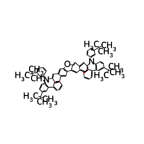 CC(C)(C)c1cccc(N(c2ccc3cc4c(cc3c2)oc2cc3cc(N(c5cccc(C(C)(C)C)c5)c5ccc(C(C)(C)C)cc5-c5ccccc5)ccc3cc24)c2ccc(C(C)(C)C)cc2-c2ccccc2)c1